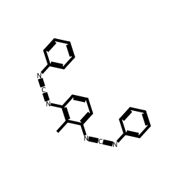 Cc1c(N=C=Nc2ccccc2)cccc1N=C=Nc1ccccc1